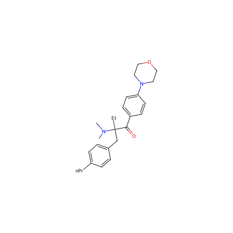 CCCc1ccc(CC(CC)(C(=O)c2ccc(N3CCOCC3)cc2)N(C)C)cc1